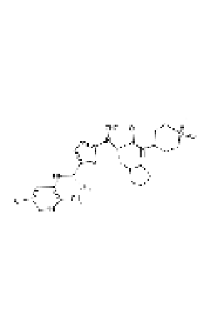 Cc1ncc(Cl)cc1N[C@@H](C)c1ccc(N(C=O)[C@@H](CC2CCCC2)C(=O)NC2CCS(=O)(=O)CC2)s1